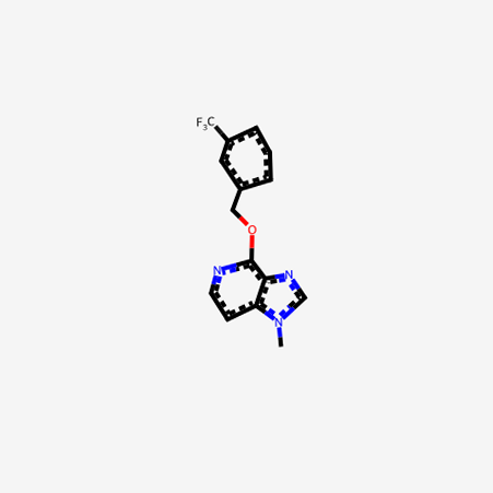 Cn1cnc2c(OCc3cccc(C(F)(F)F)c3)nccc21